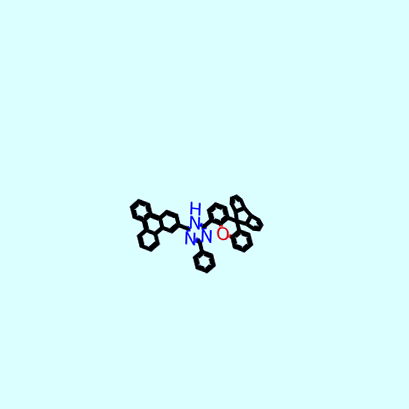 C1=CC2=c3ccccc3=C3C=CC(C4N=C(c5ccccc5)N=C(c5cccc6c5Oc5ccccc5C65C6C=CC=CC6C6C=CC=CC65)N4)=CC3C2C=C1